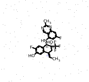 C/C=C1\C[C@](O)(C(F)(F)F)[C@H](Nc2cc(F)cc3nc(C)ncc23)c2cc(F)c(O)cc21